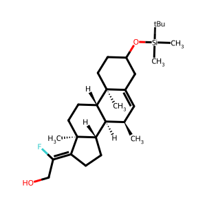 C[C@@H]1C=C2CC(O[Si](C)(C)C(C)(C)C)CC[C@]2(C)[C@H]2CC[C@]3(C)C(=C(F)CO)CC[C@H]3[C@H]12